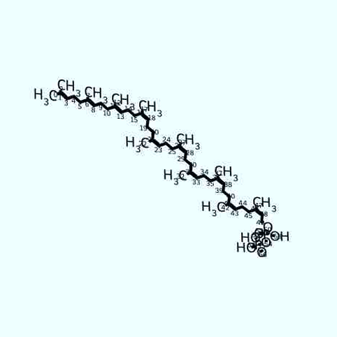 CC(C)=CCC/C(C)=C/CC/C(C)=C/CC/C(C)=C\CC/C(C)=C\CC/C(C)=C\CC/C(C)=C\CC/C(C)=C\CC/C(C)=C\CC/C(C)=C\COP(=O)(O)OP(=O)(O)O